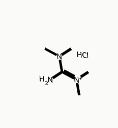 CN(C)C(N)=[N+](C)C.Cl